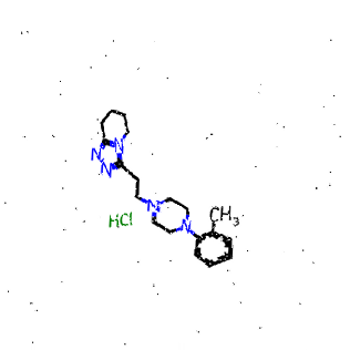 Cc1ccccc1N1CCN(CCc2nnc3n2CCCC3)CC1.Cl